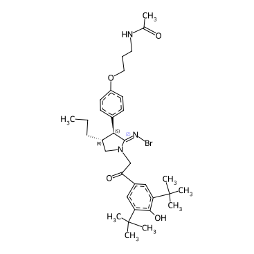 CCC[C@H]1CN(CC(=O)c2cc(C(C)(C)C)c(O)c(C(C)(C)C)c2)/C(=N\Br)[C@@H]1c1ccc(OCCCNC(C)=O)cc1